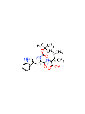 CC[C@H](C)[C@H](NC(=O)[C@H](Cc1c[nH]c2ccccc12)NC(=O)OC(C)(C)C)C(=O)O